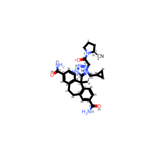 N#C[C@@H]1CCCN1C(=O)CN[C@@H](CC1(c2nnn[nH]2)c2ccc(C(N)=O)cc2CCc2cc(C(N)=O)ccc21)C1CC1